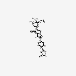 CC(C)(C)OC(=O)N1Cc2nn(-c3ccc(N4CC[C@@H](F)C4)cc3)cc2C1=O